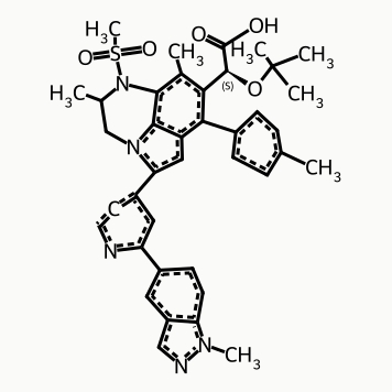 Cc1ccc(-c2c([C@H](OC(C)(C)C)C(=O)O)c(C)c3c4c2cc(-c2ccnc(-c5ccc6c(cnn6C)c5)c2)n4CC(C)N3S(C)(=O)=O)cc1